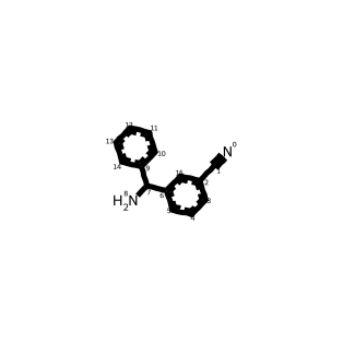 N#Cc1cccc(C(N)c2ccccc2)c1